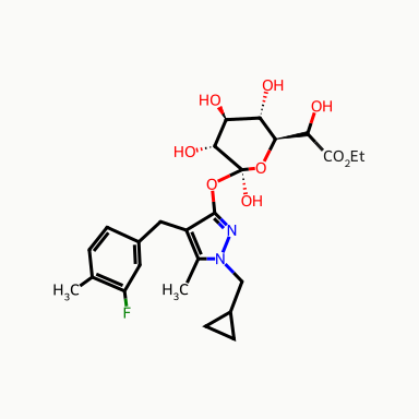 CCOC(=O)C(O)[C@H]1O[C@@](O)(Oc2nn(CC3CC3)c(C)c2Cc2ccc(C)c(F)c2)[C@H](O)[C@@H](O)[C@@H]1O